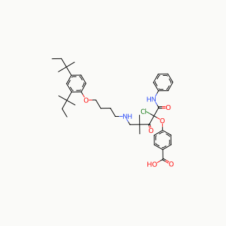 CCC(C)(C)c1ccc(OCCCCNCC(C)(C)C(=O)C(Cl)(Oc2ccc(C(=O)O)cc2)C(=O)Nc2ccccc2)c(C(C)(C)CC)c1